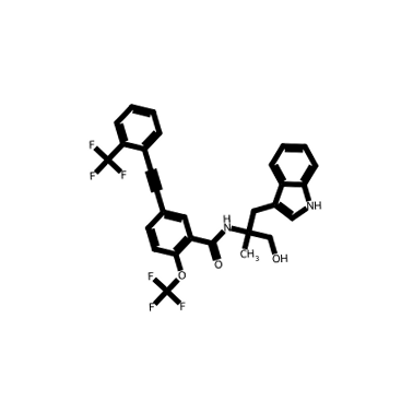 CC(CO)(Cc1c[nH]c2ccccc12)NC(=O)c1cc(C#Cc2ccccc2C(F)(F)F)ccc1OC(F)(F)F